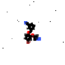 N#Cc1cccc(COc2ccc(Br)cc2OC2CNC2)c1